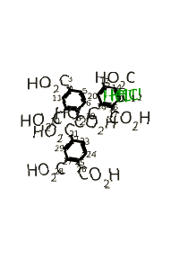 Cl.Cl.Cl.O=C(O)c1ccc(C(=O)O)c(C(=O)O)c1.O=C(O)c1ccc(C(=O)O)c(C(=O)O)c1.O=C(O)c1ccc(C(=O)O)c(C(=O)O)c1